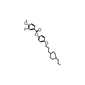 CCCC1CCC(CCCOc2ccc(OC(=O)c3ccc(OC)c(F)c3)cc2)CC1